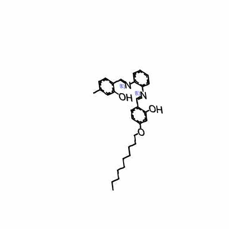 CCCCCCCCCCOc1ccc(/C=N/c2ccccc2/N=C/c2ccc(C)cc2O)c(O)c1